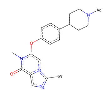 CC(=O)N1CCC(c2ccc(Oc3cn4c(C(C)C)ncc4c(=O)n3C)cc2)CC1